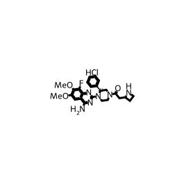 COc1cc2c(N)nc(N3CCN(C(=O)CC4CCN4)C[C@@H]3c3ccccc3)nc2c(F)c1OC.Cl